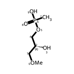 COC[C@@H](O)COP(C)(=O)O